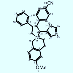 COc1ccc2c(c1)CC[N@@+](CCc1ccccc1)([C@@H](Cc1ccc(C#N)cc1)c1cnc[nH]1)C2